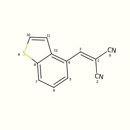 N#CC(C#N)=Cc1cccc2sccc12